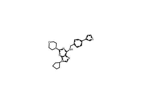 c1cc(-c2ccc(CNc3nc(N4CCOCC4)nc4c3ncn4C3CCCC3)cc2)cs1